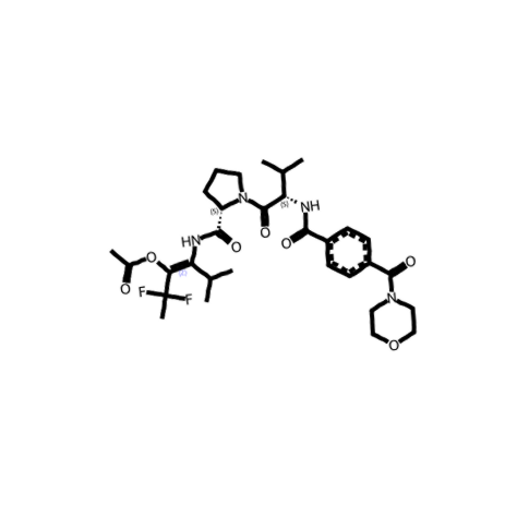 CC(=O)O/C(=C(\NC(=O)[C@@H]1CCCN1C(=O)[C@@H](NC(=O)c1ccc(C(=O)N2CCOCC2)cc1)C(C)C)C(C)C)C(C)(F)F